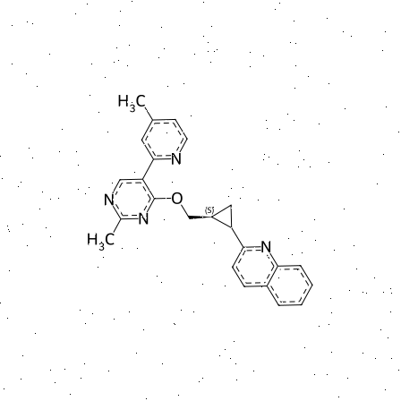 Cc1ccnc(-c2cnc(C)nc2OC[C@H]2CC2c2ccc3ccccc3n2)c1